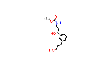 CC(C)(C)OC(=O)NCCC(O)c1cccc(CCCO)c1